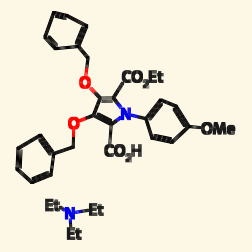 CCN(CC)CC.CCOC(=O)c1c(OCc2ccccc2)c(OCc2ccccc2)c(C(=O)O)n1-c1ccc(OC)cc1